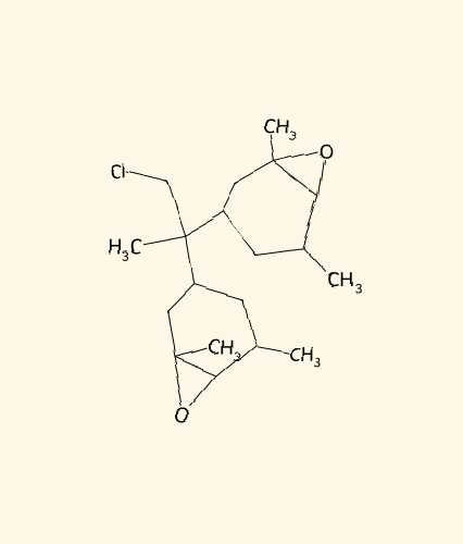 CC1CC(C(C)(CCl)C2CC(C)C3OC3(C)C2)CC2(C)OC12